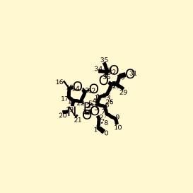 C=CCO[C@](C)(C[C@@H](C)CC)[C@H](O[C@@H]1O[C@H](C)CC(N(C)C)[C@H]1P=O)[C@@H](C)C1=C(C)C(=O)OC(C)(C)O1